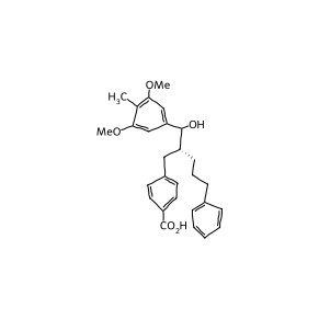 COc1cc(C(O)[C@H](CCCc2ccccc2)Cc2ccc(C(=O)O)cc2)cc(OC)c1C